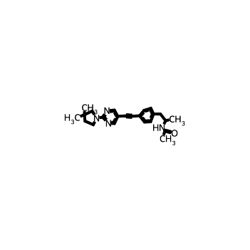 CC(=O)NC(C)Cc1ccc(C#Cc2cnc(N3CCC(C)(C)C3)nc2)cc1